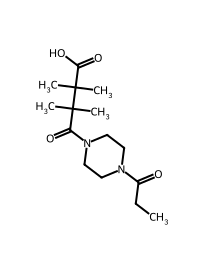 CCC(=O)N1CCN(C(=O)C(C)(C)C(C)(C)C(=O)O)CC1